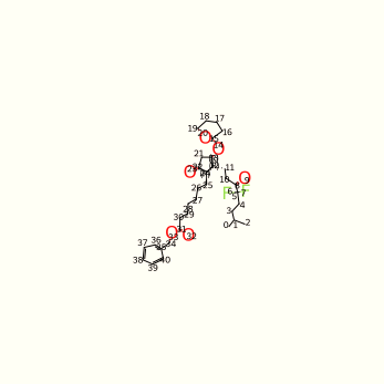 CC(C)CCC(F)(F)C(=O)CC[C@H]1[C@H](OC2CCCCO2)CC(=O)[C@@H]1CCCCCCC(=O)OCc1ccccc1